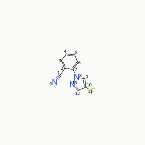 N#Cc1ccccc1-n1cc(F)cn1